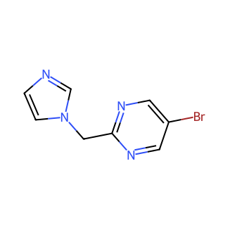 Brc1cnc(Cn2ccnc2)nc1